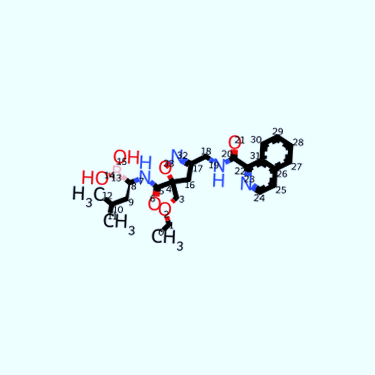 CCOCC1(C(=O)N[C@@H](CC(C)C)B(O)O)CC(CNC(=O)c2nccc3ccccc23)=NO1